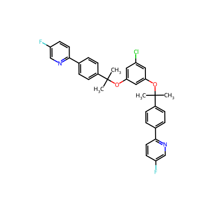 CC(C)(Oc1cc(Cl)cc(OC(C)(C)c2ccc(-c3ccc(F)cn3)cc2)c1)c1ccc(-c2ccc(F)cn2)cc1